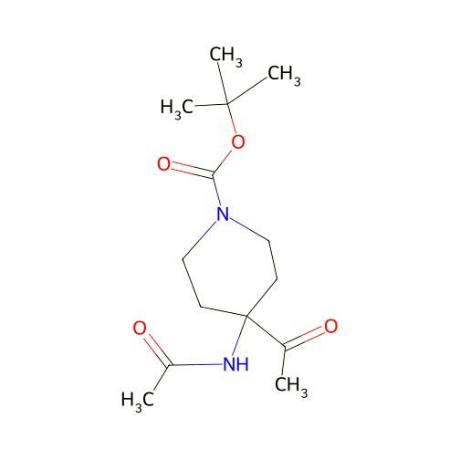 CC(=O)NC1(C(C)=O)CCN(C(=O)OC(C)(C)C)CC1